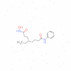 CCC(CCCC(=O)Nc1ccccc1)CCC(=O)NO